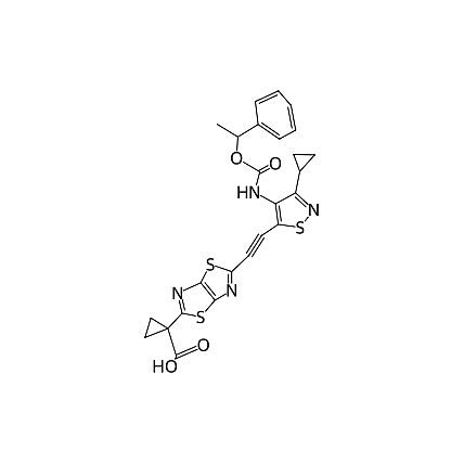 CC(OC(=O)Nc1c(C2CC2)nsc1C#Cc1nc2sc(C3(C(=O)O)CC3)nc2s1)c1ccccc1